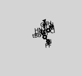 CC(C)(C)C[C@]1(c2ccc(-c3cnn(C(F)F)c3)cc2)NC(=N)N([C@H](COC(=O)NC2CC2)c2ccc(Cl)c(-n3cncn3)c2)C1=O